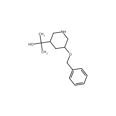 CC(C)(O)C1CNCC(OCc2ccccc2)C1